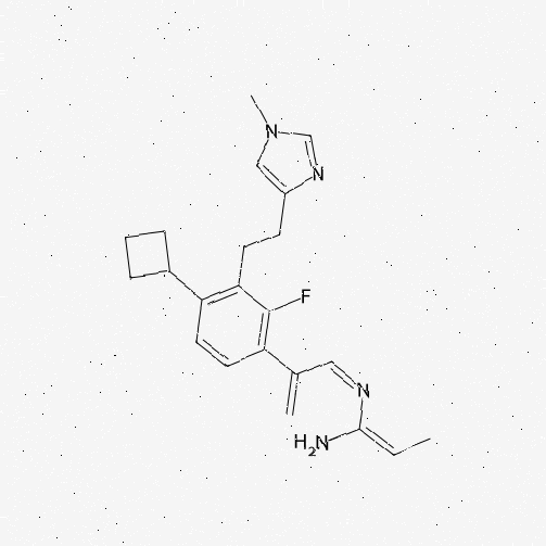 C=C(/C=N\C(N)=C/C)c1ccc(C2CCC2)c(CCc2cn(C)cn2)c1F